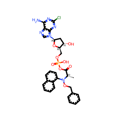 C[C@@H](C(=O)OP(=O)(O)OC[C@H]1O[C@@H](n2cnc3c(N)nc(Cl)nc32)C[C@@H]1O)N(OCc1ccccc1)c1cccc2ccccc12